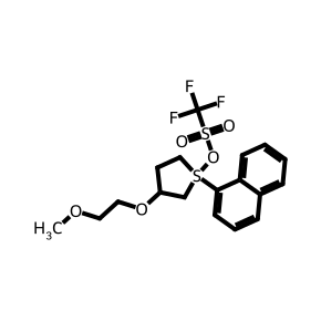 COCCOC1CCS(OS(=O)(=O)C(F)(F)F)(c2cccc3ccccc23)C1